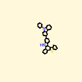 c1ccc(-n2c3ccccc3c3cc(-c4ccc5c(c4)[nH]c4c6ccccc6c6sc7ccccc7c6c54)ccc32)cc1